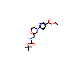 CCOC(=O)c1ccc(N2CCOC(CNC(=O)OC(C)(C)C)C2)nc1